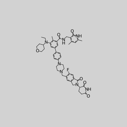 CCN(c1cc(-c2ccc(N3CCN(Cc4cc5c(cc4F)C(=O)N(C4CCC(=O)NC4=O)C5)CC3)cc2)cc(C(=O)NCc2c(C)cc(C)[nH]c2=O)c1C)C1CCOCC1